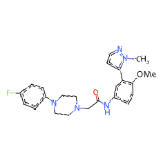 COc1ccc(NC(=O)CN2CCN(c3ccc(F)cc3)CC2)cc1-c1ccnn1C